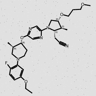 CCOc1ccc(F)c(N2CC[C@@H](Oc3cnc(N4C[C@H](OCCCOC)[C@@H](C)[C@@H]4CC#N)cn3)[C@H](C)C2)c1